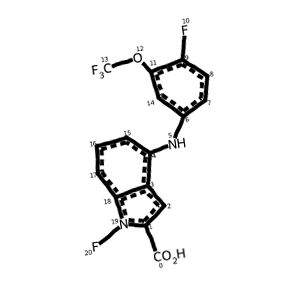 O=C(O)c1cc2c(Nc3ccc(F)c(OC(F)(F)F)c3)cccc2n1F